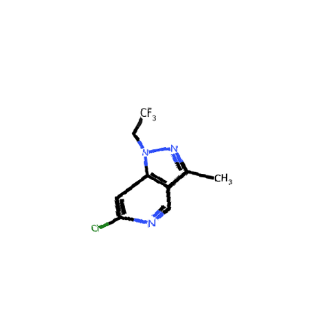 Cc1nn(CC(F)(F)F)c2cc(Cl)ncc12